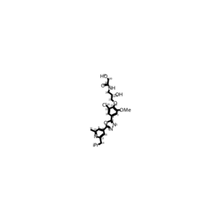 COc1cc(-c2nnc(-c3cc(C)nc(CC(C)C)c3)o2)cc(Cl)c1OC[C@@H](O)CNC(=O)CO